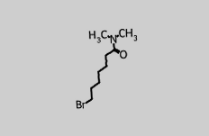 CN(C)C(=O)CCCCCCBr